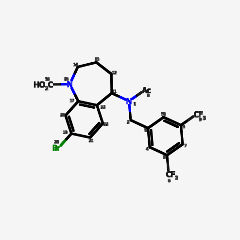 CC(=O)N(Cc1cc(C(F)(F)F)cc(C(F)(F)F)c1)C1CCCN(C(=O)O)c2cc(Br)ccc21